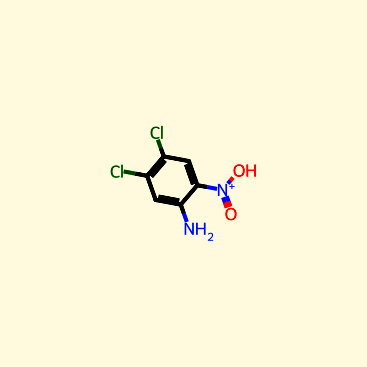 Nc1cc(Cl)c(Cl)cc1[N+](=O)O